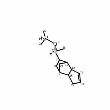 C[SiH](C)O[Si](C)(C)C1CC2CC1C1C=CCC21